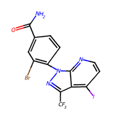 NC(=O)c1ccc(-n2nc(C(F)(F)F)c3c(I)ccnc32)c(Br)c1